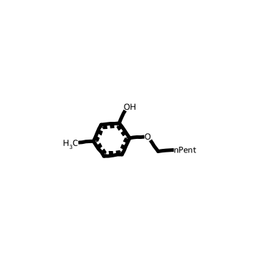 CCCCCCOc1ccc(C)cc1O